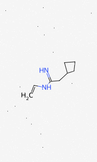 C=CNC(=N)CC1CCC1